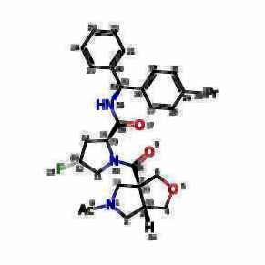 CC(=O)N1C[C@H]2COC[C@@]2(C(=O)N2C[C@H](F)C[C@H]2C(=O)N[C@@H](c2ccccc2)c2ccc(C(C)C)cc2)C1